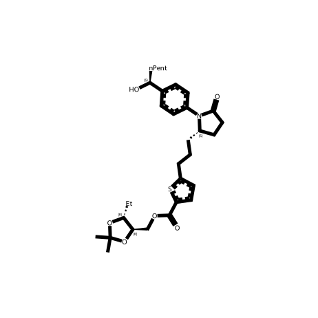 CCCCC[C@H](O)c1ccc(N2C(=O)CC[C@@H]2CCCc2ccc(C(=O)OC[C@H]3OC(C)(C)O[C@@H]3CC)s2)cc1